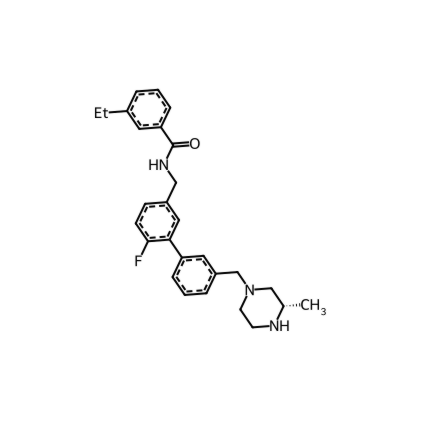 CCc1cccc(C(=O)NCc2ccc(F)c(-c3cccc(CN4CCN[C@@H](C)C4)c3)c2)c1